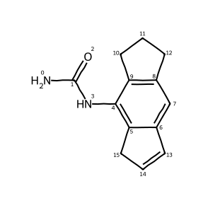 NC(=O)Nc1c2c(cc3c1CCC3)C=CC2